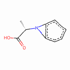 C[C@@H](C(=O)O)N1c2ccccc21